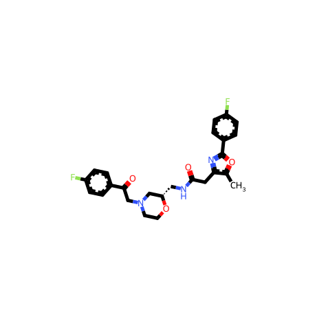 Cc1oc(-c2ccc(F)cc2)nc1CC(=O)NC[C@H]1CN(CC(=O)c2ccc(F)cc2)CCO1